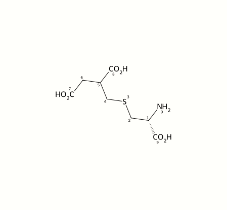 N[C@@H](CSCC(CC(=O)O)C(=O)O)C(=O)O